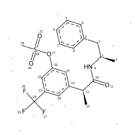 C[C@H](Cc1ccccc1)NC(=O)[C@@H](C)c1cc(OS(C)(=O)=O)cc(C(F)(F)F)c1